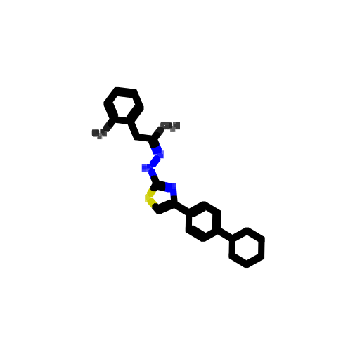 O=C(O)/C(Cc1ccccc1[N+](=O)[O-])=N/Nc1nc(-c2ccc(C3CCCCC3)cc2)cs1